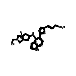 N#CCN1C[C@H]2CC(Nc3c(-c4ncc(/C=C/CC(=O)O)s4)cnc4[nH]ccc34)C[C@H]2C1